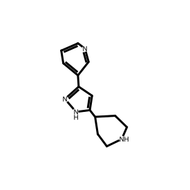 c1cncc(-c2cc(C3CCNCC3)[nH]n2)c1